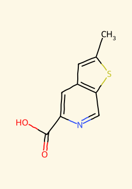 Cc1cc2cc(C(=O)O)ncc2s1